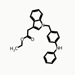 CCOC(=O)Cc1cn(Cc2ccc(Nc3ccccc3)cc2)c2ccccc12